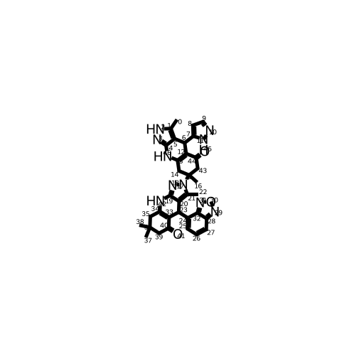 Cc1[nH]nc2c1C(c1ccn[nH]1)C1=C(CC(C)(n3nc4c(c3C)C(c3cccc5nonc35)C3=C(CC(C)(C)CC3=O)N4)CC1=O)N2